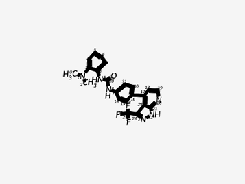 CN(C)c1ccccc1NC(=O)Nc1ccc(-c2ccnc3[nH]nc(C(F)(F)F)c23)cc1